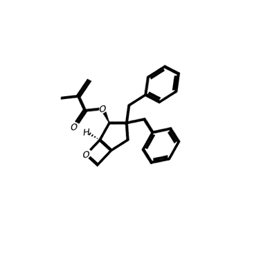 C=C(C)C(=O)O[C@@H]1[C@@H]2OCC2CC1(Cc1ccccc1)Cc1ccccc1